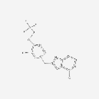 FC(F)(F)COc1ncc(Cn2cc3c(Cl)nccc3n2)cc1Cl